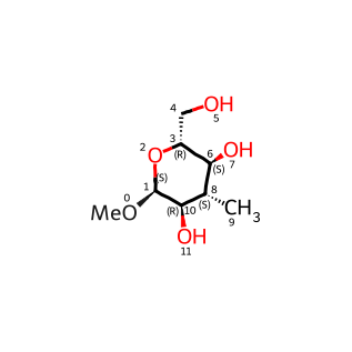 CO[C@H]1O[C@H](CO)[C@@H](O)[C@H](C)[C@H]1O